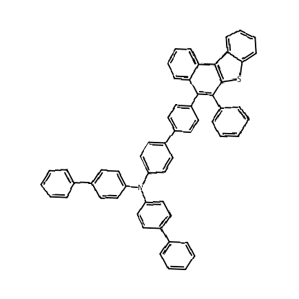 c1ccc(-c2ccc(N(c3ccc(-c4ccccc4)cc3)c3ccc(-c4ccc(-c5c(-c6ccccc6)c6sc7ccccc7c6c6ccccc56)cc4)cc3)cc2)cc1